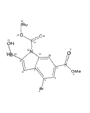 COC(=O)c1cc(Br)c2cc(BO)n(C(=O)OC(C)(C)C)c2c1